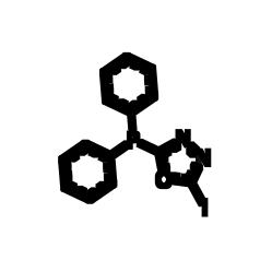 Ic1nnc(P(c2ccccc2)c2ccccc2)o1